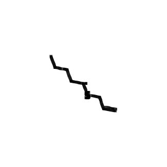 C=CCS[CH]CCCC